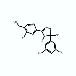 NCc1ccc(C2=NCC(c3cc(C(F)(F)F)cc(C(F)(F)F)c3)(C(F)(F)F)C2Cl)cc1Br